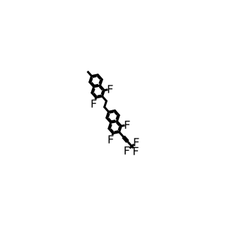 Cc1ccc2c(F)c(CCc3ccc4c(F)c(C#CC(F)(F)F)c(F)cc4c3)c(F)cc2c1